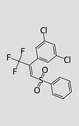 O=S(=O)(C=C(c1cc(Cl)cc(Cl)c1)C(F)(F)F)c1ccccc1